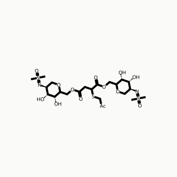 CC(=O)CSC(CC(=O)OCC1OC[C@H](N=S(C)(C)=O)[C@@H](O)[C@H]1O)C(=O)OCC1OC[C@H](N=S(C)(C)=O)[C@@H](O)[C@H]1O